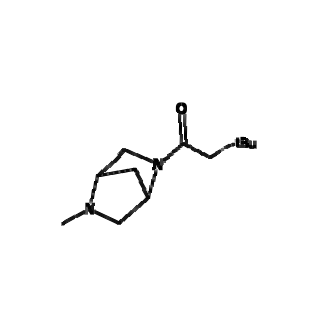 CN1CC2CC1CN2C(=O)CC(C)(C)C